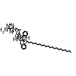 CCCCCCCCCCCCCCCCCCCCCCOC(O)[C@@H](Cc1ccccc1)NP(=O)(COC(C)Cn1cnc2c(N)ncnc21)Oc1ccccc1